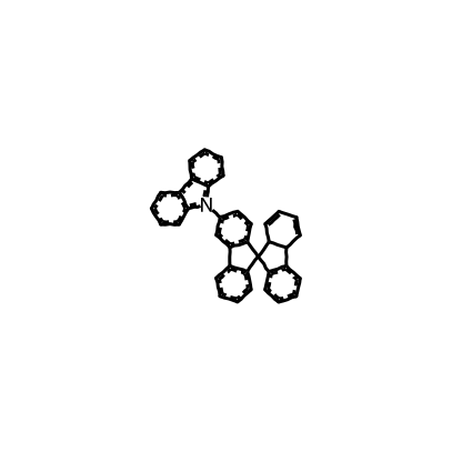 C1=CC2c3ccccc3C3(c4ccccc4-c4cc(-n5c6ccccc6c6ccccc65)ccc43)C2C=C1